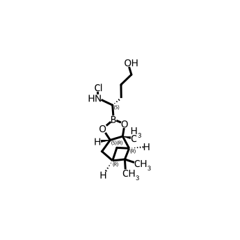 CC1(C)[C@H]2C[C@@H]3OB([C@@H](CCCO)NCl)O[C@]3(C)[C@@H]1C2